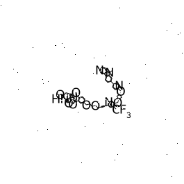 Cn1c2ccncc2c2ccc(-c3ccc(O[C@H]4C[C@H](Oc5cnc(C#CCOCCOc6ccc7c(c6)C(=O)N(C6CCC(=O)NC6=O)C7=O)cc5C(F)(F)F)C4)nc3)cc21